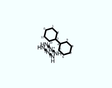 C1CCC(C2CCCCC2)CC1.N=[N+]=N.N=[N+]=N